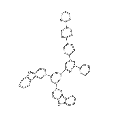 c1ccc(-c2nc(-c3ccc(-c4ccc(-c5ccccn5)cc4)cc3)cc(-c3cc(-c4ccc5oc6ccccc6c5c4)cc(-c4ccc5oc6ccccc6c5c4)c3)n2)cc1